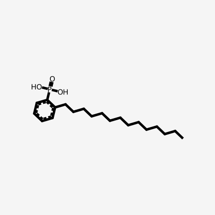 CCCCCCCCCCCCCCc1ccccc1P(=O)(O)O